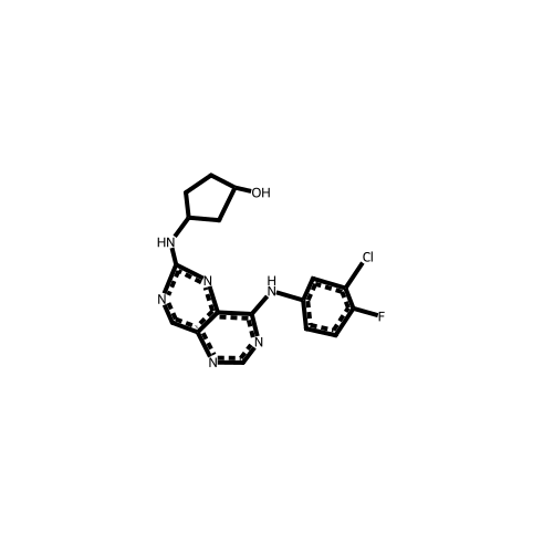 OC1CCC(Nc2ncc3ncnc(Nc4ccc(F)c(Cl)c4)c3n2)C1